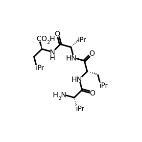 CC(C)C[C@H](NC(=O)[C@@H](NC(=O)[C@H](CC(C)C)NC(=O)[C@@H](N)C(C)C)C(C)C)C(=O)O